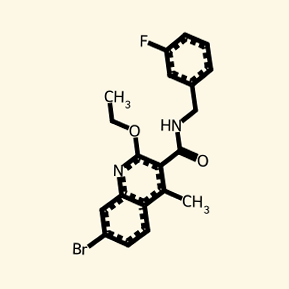 CCOc1nc2cc(Br)ccc2c(C)c1C(=O)NCc1cccc(F)c1